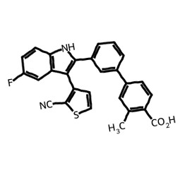 Cc1cc(-c2cccc(-c3[nH]c4ccc(F)cc4c3-c3ccsc3C#N)c2)ccc1C(=O)O